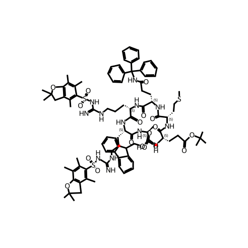 CSCC[C@H](NC(=O)[C@H](CCC(=O)OC(C)(C)C)NC(=O)OCC1c2ccccc2-c2ccccc21)C(=O)N[C@@H](CCC(=O)NC(c1ccccc1)(c1ccccc1)c1ccccc1)C(=O)N[C@@H](CCCNC(=N)NS(=O)(=O)c1c(C)c(C)c2c(c1C)CC(C)(C)O2)C(=O)N[C@@H](CCCNC(=N)NS(=O)(=O)c1c(C)c(C)c2c(c1C)CC(C)(C)O2)C(=O)N[C@@H](C)C(=O)O